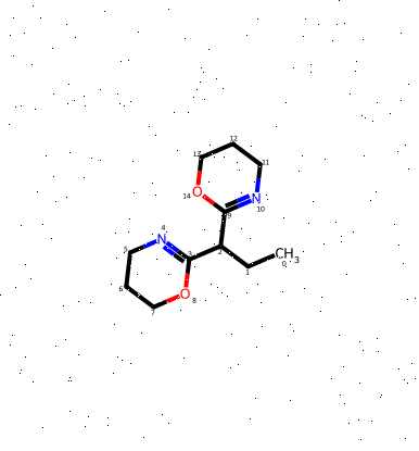 CCC(C1=NCCCO1)C1=NCCCO1